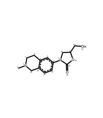 CN1CCc2cc(N3CC(CO)OC3=O)ccc2C1